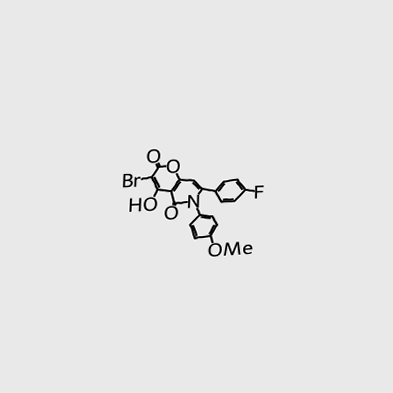 COc1ccc(-n2c(-c3ccc(F)cc3)cc3oc(=O)c(Br)c(O)c3c2=O)cc1